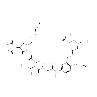 CC(C)C(NC(=O)CN1C(=O)C(N2C(=O)CCC2=O)CC1COCCSO)C(=O)NCC(=O)Nc1ccc(COC=O)c(CCC2CC(O)C[C@@H](C(=O)O)O2)c1